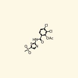 CC(=O)Oc1c(C(=O)Nc2ncc(S(C)(=O)=O)s2)ccc(Cl)c1Cl